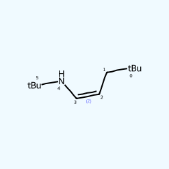 CC(C)(C)C/C=C\NC(C)(C)C